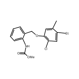 CCc1cc(Cl)c(OCc2ccccc2NC(=O)OC)cc1C